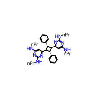 CCCNc1cc(C2[C@H](c3ccccc3)[C@@H](c3cc(NCCC)nc(NCCC)n3)[C@@H]2c2ccccc2)nc(NCCC)n1